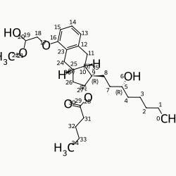 CCCCC[C@@H](O)CC[C@@H]1[C@H]2Cc3cccc(OCC(O)OC)c3C[C@H]2C[C@H]1OC(=O)CCCC